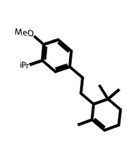 COc1ccc(CCC2C(C)=CCCC2(C)C)cc1C(C)C